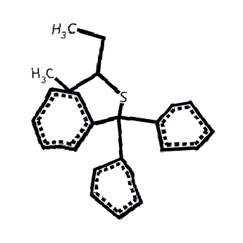 CCC(CC)SC(c1ccccc1)(c1ccccc1)c1ccccc1